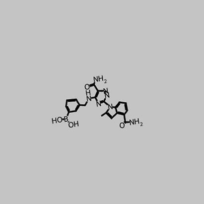 Cc1cc2c(C(N)=O)cccc2n1-c1nnc(C(N)=O)c(NCc2cccc(B(O)O)c2)n1